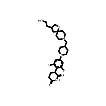 O=C1CCC(c2c(F)cc(N3CCC(CN4CCC5(CC4)CC(CCO)CO5)CC3)cc2F)C(=O)N1